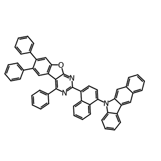 c1ccc(-c2cc3oc4nc(-c5ccc(-n6c7ccccc7c7cc8ccccc8cc76)c6ccccc56)nc(-c5ccccc5)c4c3cc2-c2ccccc2)cc1